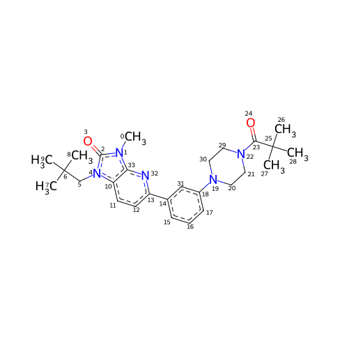 Cn1c(=O)n(CC(C)(C)C)c2ccc(-c3cccc(N4CCN(C(=O)C(C)(C)C)CC4)c3)nc21